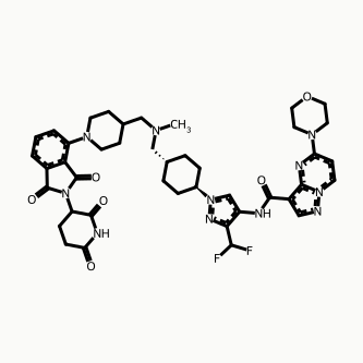 CN(CC1CCN(c2cccc3c2C(=O)N(C2CCC(=O)NC2=O)C3=O)CC1)C[C@H]1CC[C@H](n2cc(NC(=O)c3cnn4ccc(N5CCOCC5)nc34)c(C(F)F)n2)CC1